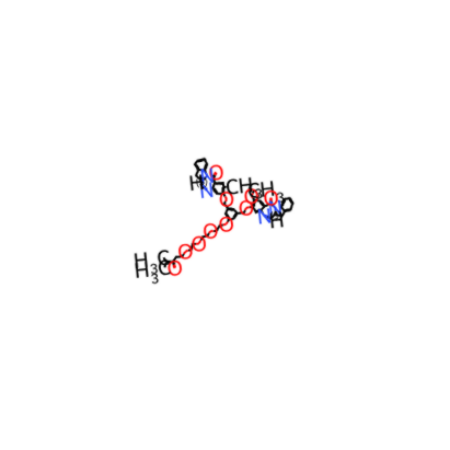 COc1cc2c(cc1OCc1cc(COc3cc4c(cc3C)C(=O)N3c5ccccc5C[C@H]3C=N4)cc(OCCOCCOCCOCCC(=O)C(C)C)c1)N=C[C@@H]1Cc3ccccc3N1C2=O